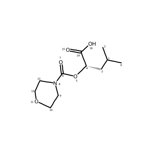 CC(C)C[C@H](OC(=O)N1CCOCC1)C(=O)O